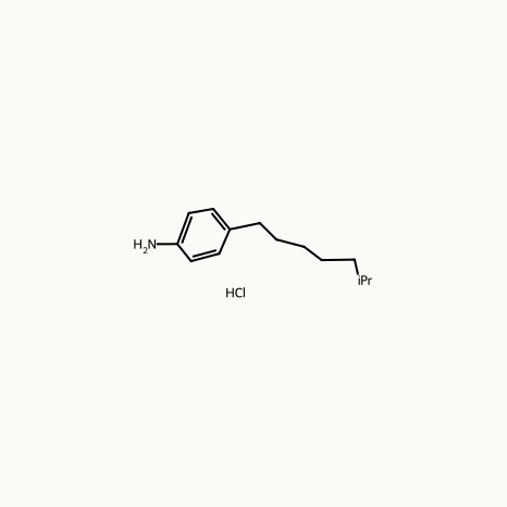 CC(C)CCCCCc1ccc(N)cc1.Cl